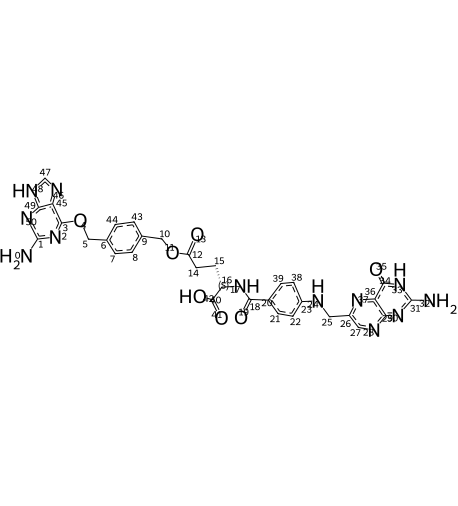 Nc1nc(OCc2ccc(COC(=O)CC[C@H](NC(=O)c3ccc(NCc4cnc5nc(N)[nH]c(=O)c5n4)cc3)C(=O)O)cc2)c2nc[nH]c2n1